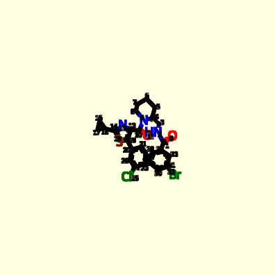 O=C(NC[C@@H]1CCCCN1C(=O)c1nc(C2CC2)sc1-c1cccc(Cl)c1)c1cccc(Br)c1